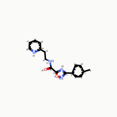 Cc1ccc(-c2noc(C(=O)NCCc3ccccn3)n2)cc1